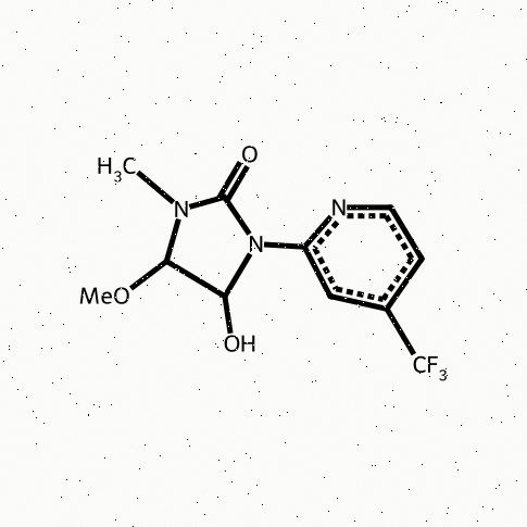 COC1C(O)N(c2cc(C(F)(F)F)ccn2)C(=O)N1C